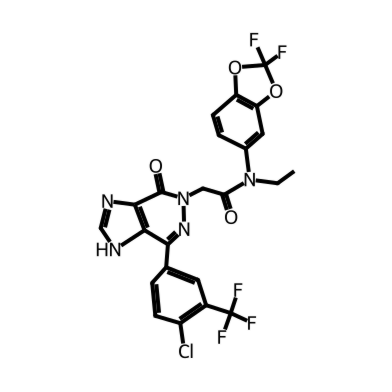 CCN(C(=O)Cn1nc(-c2ccc(Cl)c(C(F)(F)F)c2)c2[nH]cnc2c1=O)c1ccc2c(c1)OC(F)(F)O2